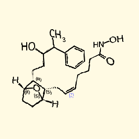 CC(c1ccccc1)C(O)CC[C@@H]1[C@H](C/C=C\CCCC(=O)NO)[C@@H]2CC[C@H]1O2